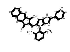 Cc1cccc(C)c1-n1c(C=C2C(=O)c3cc4ccccc4cc3C2=O)cc2oc(-c3cccnc3)nc21